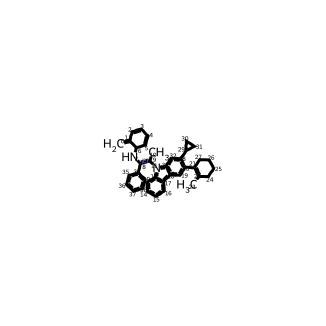 C=C1C=CC=CC1N/C(=C(\C)n1c2ccccc2c2cc(C3=C(C)CCCC3)c(C3CC3)cc21)c1ccccc1